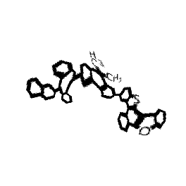 CC1(C)c2ccc(-c3c4ccccc4c(-c4ccc5ccccc5c4)c4ccccc34)cc2-c2ccc(-c3ccc4sc5c(c4c3)c3ccccc3c3oc4ccccc4c35)cc21